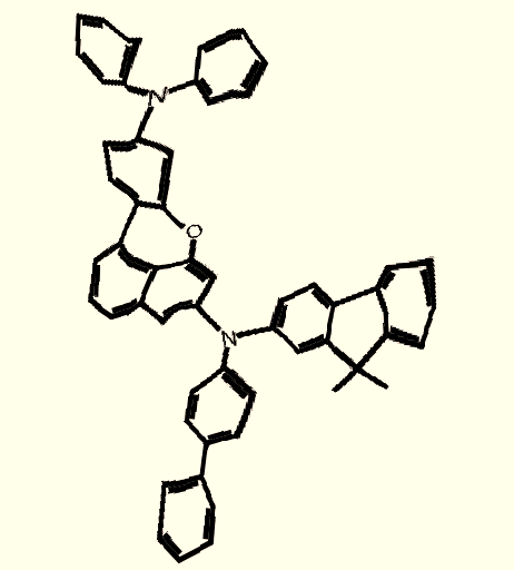 CC1(C)c2ccccc2-c2ccc(N(c3ccc(-c4ccccc4)cc3)c3cc4c5c(cccc5c3)-c3ccc(N(c5ccccc5)c5ccccc5)cc3O4)cc21